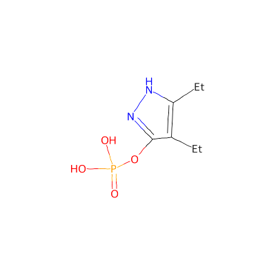 CCc1[nH]nc(OP(=O)(O)O)c1CC